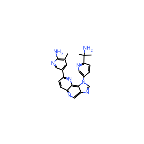 Cc1cc(-c2ccc3ncc4ncn(-c5ccc(C(C)(C)N)nc5)c4c3n2)cnc1N